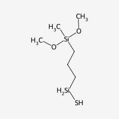 CO[Si](C)(CCC[SiH2]S)OC